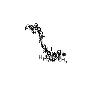 CC[C@@H]1C(O)N(C)c2cnc(Nc3ccc(C(=O)NC4CCN(CCOCCNCC(=O)Nc5cccc6c5CN(C5CCC(=O)NC5=O)C6=O)CC4)cc3OC)nc2N1Cc1ccc(C)s1